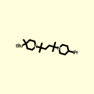 CC(C)C1CCN(C(C)(C)CCC(C)(C)N2CCC(C)(C(C)(C)C)CC2)CC1